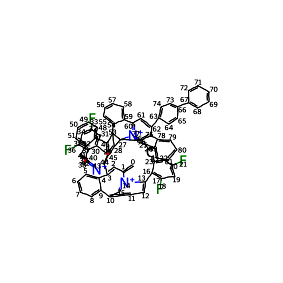 C=C1/C=C2/c3ccccc3-c3ccc([n+]1c3)-c1c(F)cc(F)cc1C/C1=C\C34C5=C6c7cc(F)cc(F)c7-c7ccc8c[n+]7C62C=C(c2ccccc2-8)C53c2ccccc2-c2cc(-c3ccc(-c5ccccc5)cc3)c(c[n+]24)-c2ccccc21